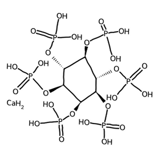 O=P(O)(O)O[C@H]1[C@H](OP(=O)(O)O)[C@@H](OP(=O)(O)O)[C@H](OP(=O)(O)O)[C@@H](OP(=O)(O)O)[C@H]1OP(=O)(O)O.[CaH2]